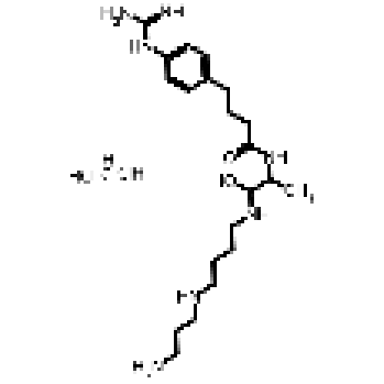 CC(NC(=O)CCCc1ccc(NC(=N)N)cc1)C(O)NCCCCNCCCN.Cl.Cl.Cl